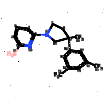 Bc1cccc(N2CCC(c3cc(C(F)(F)F)cc(C(F)(F)F)c3)(C(F)(F)F)C2)n1